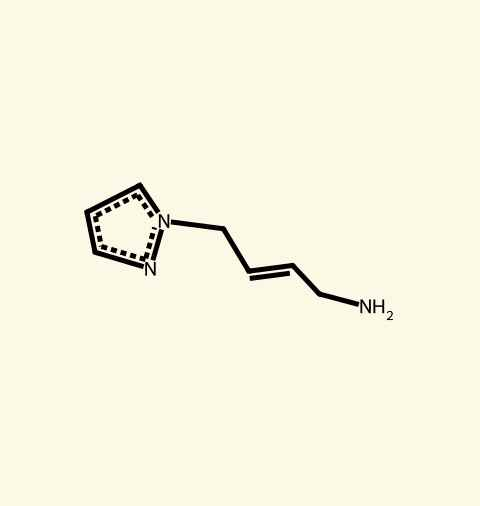 NCC=CCn1cccn1